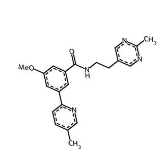 COc1cc(C(=O)NCCc2cnc(C)nc2)cc(-c2ccc(C)cn2)c1